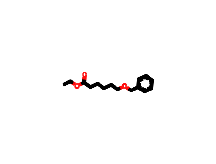 CCOC(=O)CCCCCOCc1ccccc1